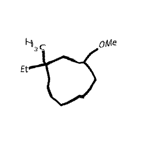 CCC1(C)CCCCC(OC)C1